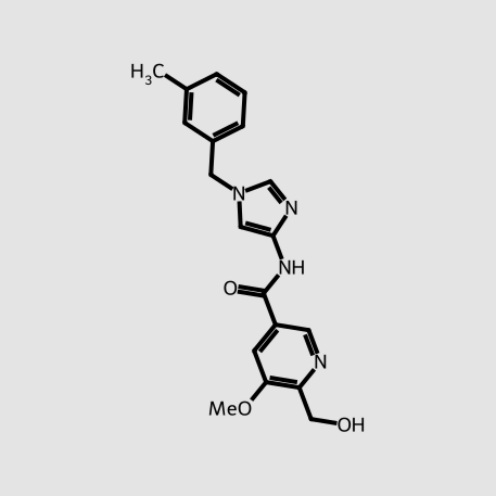 COc1cc(C(=O)Nc2cn(Cc3cccc(C)c3)cn2)cnc1CO